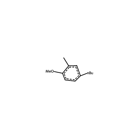 CCCCc1ccc(OC)c(C)c1